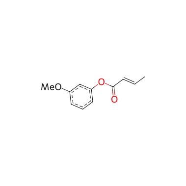 CC=CC(=O)Oc1cccc(OC)c1